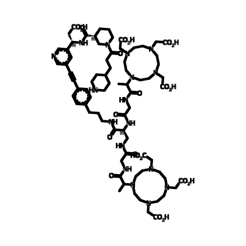 CC(C(=O)NCC(=O)NC[C@H](NC(=O)CNC(=O)C(C)N1CCN(CC(=O)O)CCN(CC(=O)O)CCN(CC(=O)O)CC1)C(=O)NCCCc1ccc(C#Cc2cncc([C@H](CC(=O)O)NC(=O)[C@@H]3CCCN(C(=O)CCC4CCNCC4)C3)c2)cc1)N1CCN(CC(=O)O)CCN(CC(=O)O)CCN(CC(=O)O)CC1